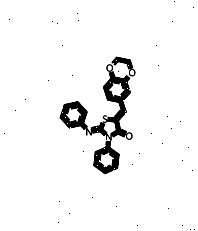 O=C1/C(=C/c2ccc3c(c2)OCCO3)S/C(=N\c2ccccc2)N1c1ccccc1